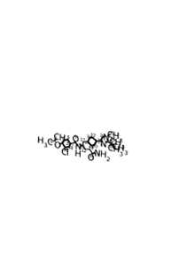 CC(C)Oc1ccc(C(=O)N[C@H](CCC(N)=O)Cc2ccc(-c3cn(C)c(C(C)(C)C)n3)cc2)cc1Cl